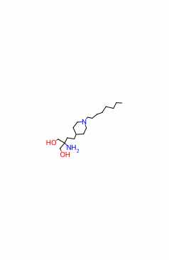 CCCCCCCCN1CCC(CCC(N)(CO)CO)CC1